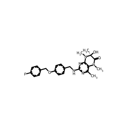 Cc1nc(NCc2ccc(OCc3ccc(F)cc3)cc2)nc2c1N(C)C(=O)[C@](C)(O)N2C